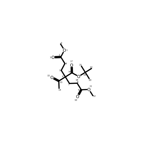 COC(=O)CCC(CCC(=O)OC)(C(C)=O)C(=O)OC(C)(C)C